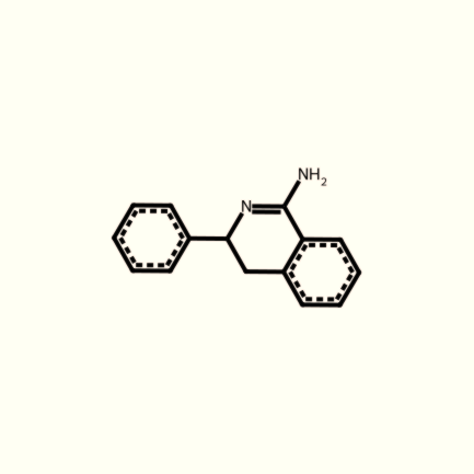 NC1=NC(c2ccccc2)Cc2ccccc21